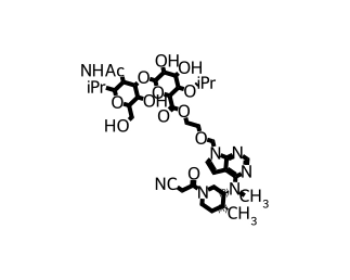 CC(=O)NC1C(C(C)C)OC(CO)C(O)C1OC1OC(C(=O)OCCOCn2ccc3c(N(C)[C@H]4CN(C(=O)CC#N)CC[C@H]4C)ncnc32)C(OC(C)C)C(O)C1O